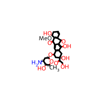 COC1(O)CC=CC2=C1C(=O)c1cc3c(c(O)c1C2=O)C[C@@](O)(C(=O)CO)CC3O[C@H]1C[C@H](N)[C@H](O)[C@H](C)O1